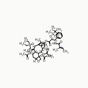 C/C=C(\C)C(=O)N[C@@H](c1ccccc1)[C@@H](O[Si](C)(C)C(C)(C)C)C(=O)O[C@H]1C[C@@]2(O)[C@@H](OC(C)=O)C3[C@](C)(C(=O)[C@H](O[Si](CC)(CC)CC)C(=C1C)C2(C)C)[C@@H](OC(C)=O)C[C@H]1OC[C@@]31OC(C)=O